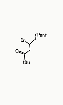 CCCCCCC(Br)CC(=O)C(C)(C)C